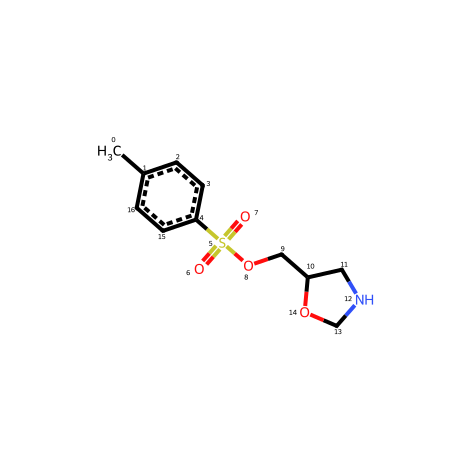 Cc1ccc(S(=O)(=O)OCC2CNCO2)cc1